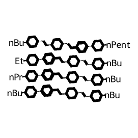 CCCCC[C@H]1CC[C@H](c2ccc(CC[C@H]3CC[C@H](CC[C@H]4CC[C@H](CCCC)CC4)CC3)cc2)CC1.CCCC[C@H]1CC[C@H](CC[C@H]2CC[C@H](CCc3ccc([C@H]4CC[C@H](CC)CC4)cc3)CC2)CC1.CCCC[C@H]1CC[C@H](CC[C@H]2CC[C@H](CCc3ccc([C@H]4CC[C@H](CCC)CC4)cc3)CC2)CC1.CCCC[C@H]1CC[C@H](CC[C@H]2CC[C@H](CCc3ccc([C@H]4CC[C@H](CCCC)CC4)cc3)CC2)CC1